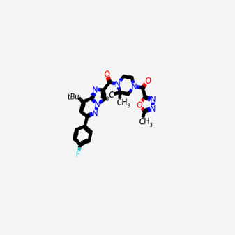 Cc1nnc(C(=O)N2CCN(C(=O)c3cn4nc(-c5ccc(F)cc5)cc(C(C)(C)C)c4n3)C(C)(C)C2)o1